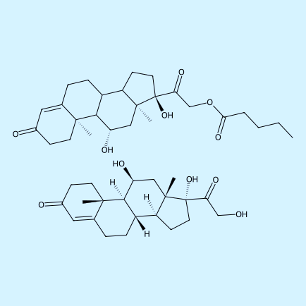 CCCCC(=O)OCC(=O)[C@@]1(O)CCC2C3CCC4=CC(=O)CC[C@]4(C)C3[C@@H](O)C[C@@]21C.C[C@]12CCC(=O)C=C1CC[C@@H]1[C@@H]2[C@@H](O)C[C@@]2(C)[C@H]1CC[C@]2(O)C(=O)CO